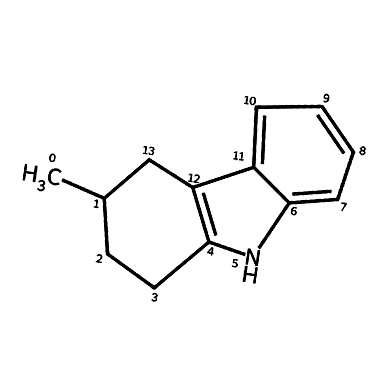 CC1CCc2[nH]c3ccccc3c2C1